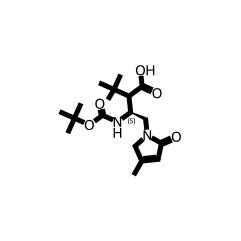 CC1=CC(=O)N(C[C@@H](NC(=O)OC(C)(C)C)C(C(=O)O)C(C)(C)C)C1